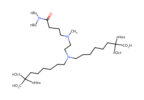 CCCCCCCCC(CCCCCC)(CCCCCCN(CCCCCCC(CCCCCC)(CCCCCCCC)C(=O)O)CCN(C)CCCC(=O)N(CCCC)CCCC)C(=O)O